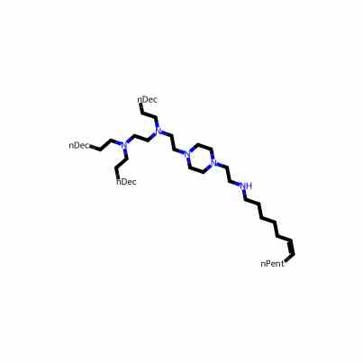 CCCCC/C=C\CCCCCNCCN1CCN(CCN(CCCCCCCCCCCC)CCN(CCCCCCCCCCCC)CCCCCCCCCCCC)CC1